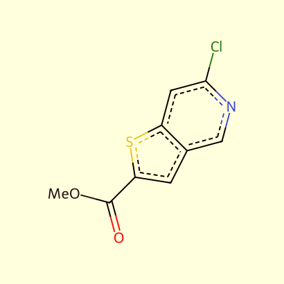 COC(=O)c1cc2cnc(Cl)cc2s1